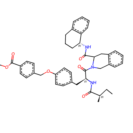 CC[C@@H](C)C(=O)N[C@@H](Cc1ccc(OCc2ccc(C(=O)OC)cc2)cc1)C(=O)N1Cc2ccccc2CC1C(=O)N[C@@H]1CCCc2ccccc21